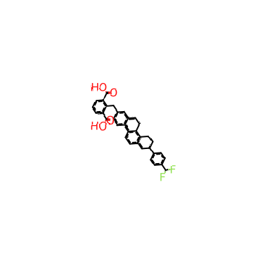 O=C(O)c1cccc(C(=O)O)c1Cc1ccc2c(c1)=CCc1c3c(ccc1=2)=CC(c1ccc(C(F)F)cc1)CC3